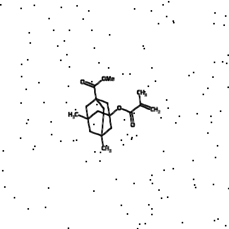 C=C(C)C(=O)OC12CC3(C)CC(C)(C1)CC(C(=O)OC)(C3)C2